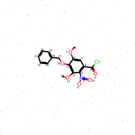 COc1cc(C(=O)Cl)c([N+](=O)[O-])c(OC)c1OCc1ccccc1